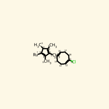 CC1=C(C)C(C)[C]([Ru])=C1C.Cl/C1=C/CC/C=C\CC1